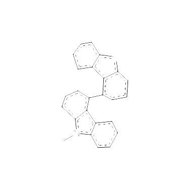 Cn1c2ccccc2c2c(-c3cccc4oc5ccccc5c34)cccc21